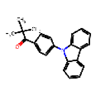 CC(C)(C)C(=O)c1ccc(-n2c3ccccc3c3ccccc32)cc1